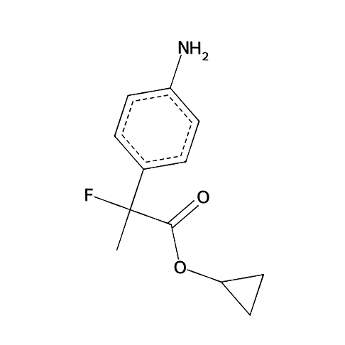 CC(F)(C(=O)OC1CC1)c1ccc(N)cc1